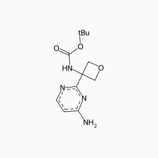 CC(C)(C)OC(=O)NC1(c2nccc(N)n2)COC1